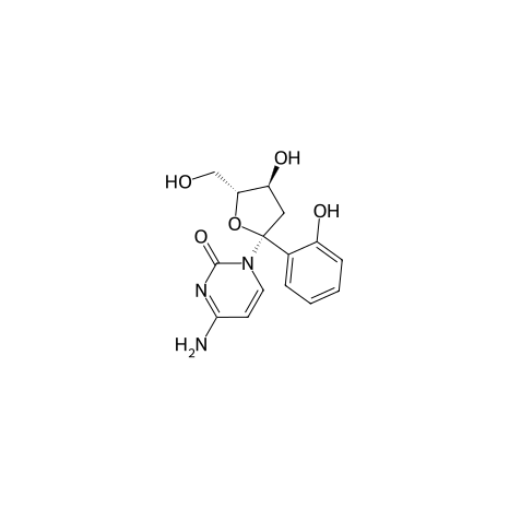 Nc1ccn([C@@]2(c3ccccc3O)C[C@H](O)[C@@H](CO)O2)c(=O)n1